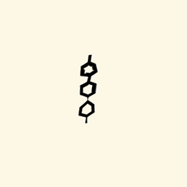 Cc1ccc(C2=CCC([C@H]3CC[C@H](C)CC3)C=C2)cc1